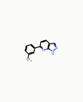 FC(F)(F)c1cccc(-c2ccc3cn[nH]c3n2)c1